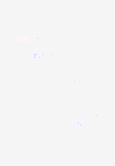 Cc1cc(-c2cccc(NC=O)c2)ccn1